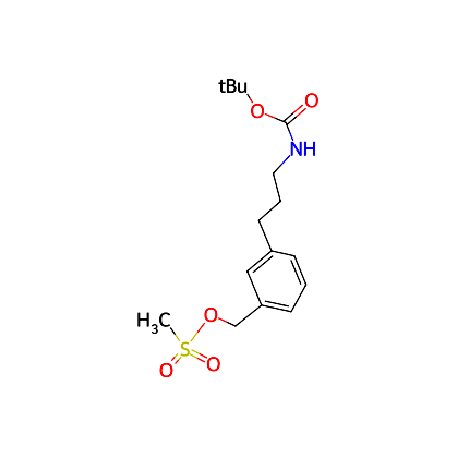 CC(C)(C)OC(=O)NCCCc1cccc(COS(C)(=O)=O)c1